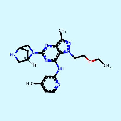 CCOCCn1nc(C)c2nc(N3CC4C[C@@H]3CN4)nc(Nc3cc(C)ccn3)c21